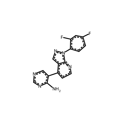 Nc1ncncc1-c1ccnc2c1cnn2-c1ccc(F)cc1F